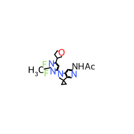 CC(=O)Nc1cc2c(cn1)C1(CC1)CN2c1cc(C2CCOC2)nc(C(C)(F)F)n1